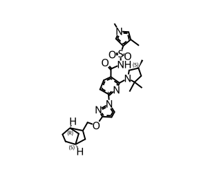 Cc1cn(C)cc1S(=O)(=O)NC(=O)c1ccc(-n2ccc(OCC3C[C@H]4CC[C@@H]3C4)n2)nc1N1C[C@@H](C)CC1(C)C